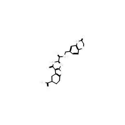 O=C1COc2ccc(CNC(=O)c3nc4sc5c(c4c(=O)[nH]3)CC(C(=O)O)CC5)cc2N1